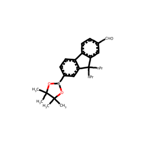 CCCC1(CCC)c2cc(C=O)ccc2-c2ccc(B3OC(C)(C)C(C)(C)O3)cc21